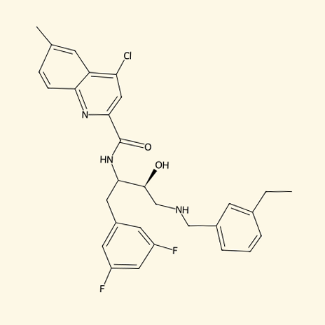 CCc1cccc(CNC[C@H](O)C(Cc2cc(F)cc(F)c2)NC(=O)c2cc(Cl)c3cc(C)ccc3n2)c1